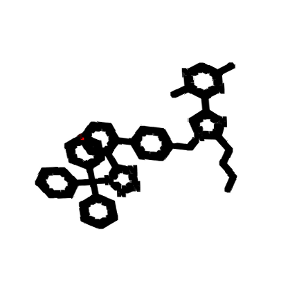 CCCCc1nc(-c2nc(C)cnc2C)cn1Cc1ccc(-c2ccccc2-c2nnnn2C(c2ccccc2)(c2ccccc2)c2ccccc2)cc1